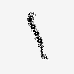 C=CC(=O)OCCCCOC(=O)Oc1ccc(C(=O)Oc2ccc(C(=O)Oc3ccc(C(=O)O[C@H]4COC5C4OC[C@H]5OC)cc3)cc2)cc1